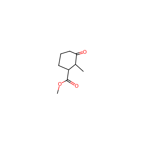 COC(=O)C1CCCC(=O)C1C